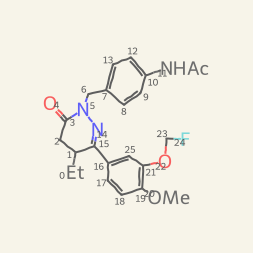 CCC1CC(=O)N(Cc2ccc(NC(C)=O)cc2)N=C1c1ccc(OC)c(OCF)c1